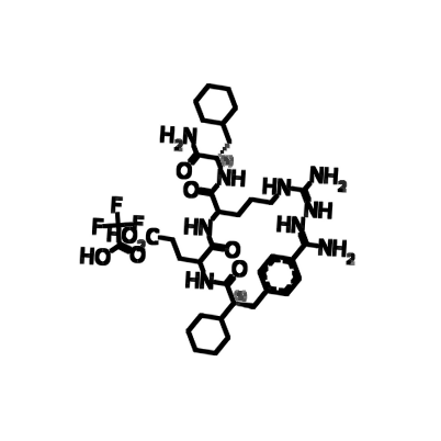 N=C(N)NCCCC(NC(=O)C(CCC(=O)O)NC(=O)[C@@H](Cc1ccc(C(=N)N)cc1)C1CCCCC1)C(=O)N[C@@H](CC1CCCCC1)C(N)=O.O=C(O)C(F)(F)F